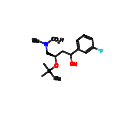 CC(C)(C)N(C[C@@H](CC(O)c1cccc(F)c1)O[Si](C)(C)C(C)(C)C)C(=O)O